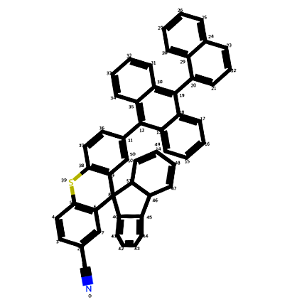 N#Cc1ccc2c(c1)C1(c3cc(-c4c5ccccc5c(-c5cccc6ccccc56)c5ccccc45)ccc3S2)c2ccccc2C2C=CC=CC21